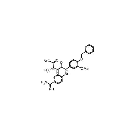 COc1cc([C@@H](Nc2ccc(C(=N)N)cc2)C(=O)N[C@@H](C)C(=O)OC(C)=O)ccc1OCc1ccccc1